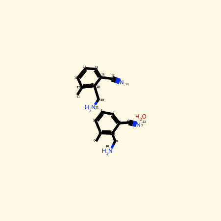 Cc1cccc(C#N)c1CN.Cc1cccc(C#N)c1CN.O